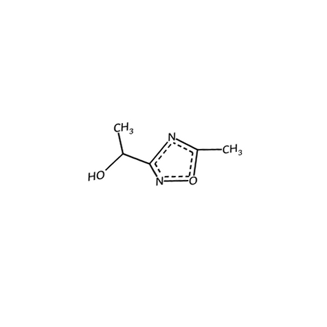 Cc1nc(C(C)O)no1